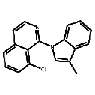 Cc1cn(-c2nccc3cccc(Cl)c23)c2ccccc12